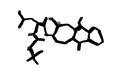 CC(C)CC(NC(=O)OC(C)(C)C)C(=O)NC1CCn2c(=O)c3ccccc3c(=O)n2C[C@@H]1O